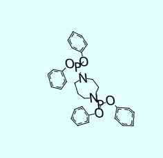 c1ccc(OP(Oc2ccccc2)N2CCCN(P(Oc3ccccc3)Oc3ccccc3)CC2)cc1